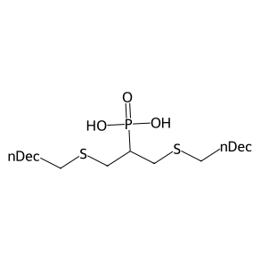 CCCCCCCCCCCSCC(CSCCCCCCCCCCC)P(=O)(O)O